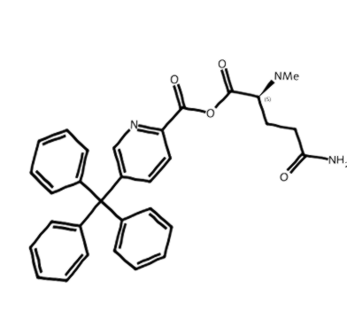 CN[C@@H](CCC(N)=O)C(=O)OC(=O)c1ccc(C(c2ccccc2)(c2ccccc2)c2ccccc2)cn1